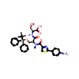 CN(C(=O)c1csc(-c2ccc(N)cc2)n1)[C@@H](CO[Si](c1ccccc1)(c1ccccc1)C(C)(C)C)C(=O)N[C@@H](CO)C(=O)O